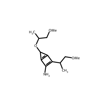 COCC(C)OC1C2=C1C(C(C)COC)=C2N